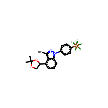 CC1(C)OCC(c2cccc3c2c(C#N)nn3-c2ccc(S(F)(F)(F)(F)F)cc2)O1